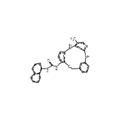 Cc1cnc2nc1Nc1ccc(NC(=O)Nc3cccc4ccccc34)c(c1)CCc1cccc(c1)N2